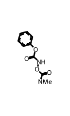 CNC(=O)ONC(=O)Oc1ccccc1